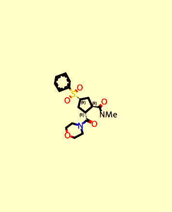 CNC(=O)[C@@H]1C[C@@H](S(=O)(=O)c2ccccc2)C[C@H]1C(=O)N1CCOCC1